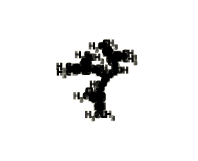 CCC(COCC(O)COC(=O)c1cc(N(C)C)ccc1C(=O)c1ccc(N(C)C)cc1)(COCC(O)COC(=O)c1cc(N(C)C)ccc1C(=O)c1ccc(N(C)C)cc1)COCC(O)OCC(=O)c1cc(N(C)C)ccc1C(=O)c1ccc(N(C)C)cc1